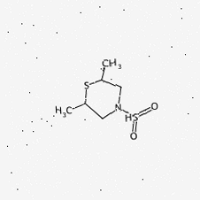 CC1CN([SH](=O)=O)CC(C)S1